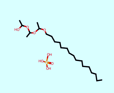 CCCCCCCCCCCCCCCCOC(C)OC(C)OC(C)O.O=P(O)(O)O